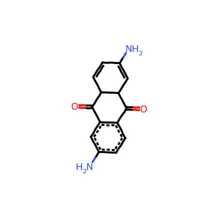 NC1=CC2C(=O)c3ccc(N)cc3C(=O)C2C=C1